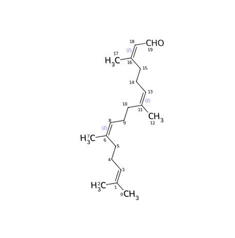 CC(C)=CCC/C(C)=C\CC/C(C)=C\CC/C(C)=C\C=O